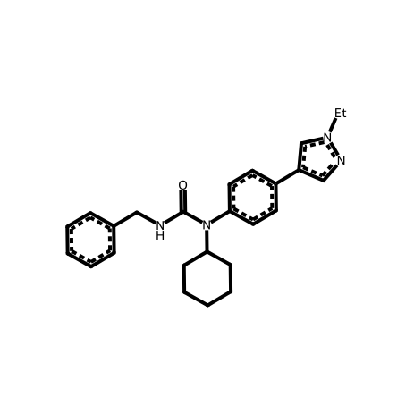 CCn1cc(-c2ccc(N(C(=O)NCc3ccccc3)C3CCCCC3)cc2)cn1